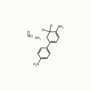 Cl.Cl.NC1=CC=C(c2ccc(N)cc2)CC1(Cl)Cl.O